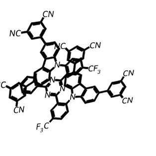 N#Cc1cc(C#N)cc(-c2ccc3c(c2)c2cc(-c4cc(C#N)cc(C#N)c4)ccc2n3-c2ccc(C(F)(F)F)cc2-c2nc(-c3ccccc3)nc(-c3cc(C(F)(F)F)ccc3-n3c4ccc(-c5cc(C#N)cc(C#N)c5)cc4c4cc(-c5cc(C#N)cc(C#N)c5)ccc43)n2)c1